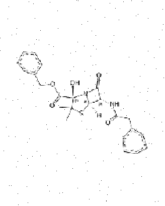 CC1(C)S[C@@H]2[C@@H](NC(=O)Cc3ccccc3)C(=O)N2[C@@]1(O)C(=O)OCc1ccccc1